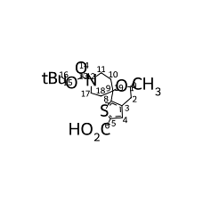 CC1Cc2cc(C(=O)O)sc2C2(CCN(C(=O)OC(C)(C)C)CC2)O1